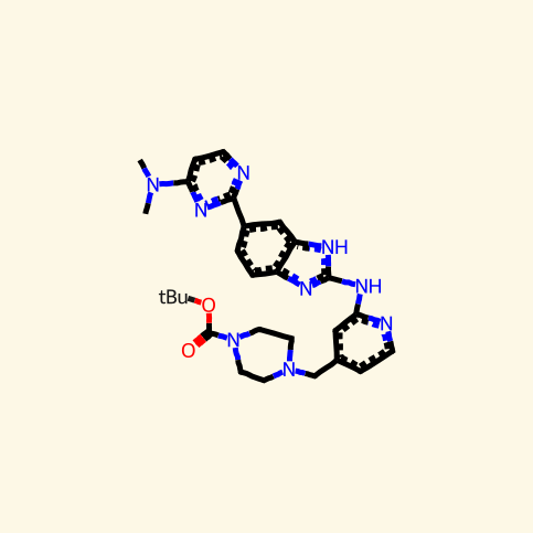 CN(C)c1ccnc(-c2ccc3nc(Nc4cc(CN5CCN(C(=O)OC(C)(C)C)CC5)ccn4)[nH]c3c2)n1